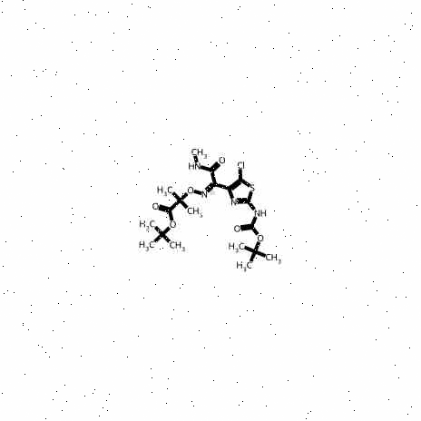 CNC(=O)/C(=N\OC(C)(C)C(=O)OC(C)(C)C)c1nc(NC(=O)OC(C)(C)C)sc1Cl